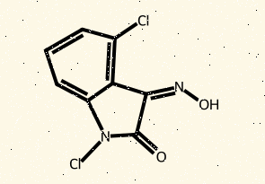 O=C1C(=NO)c2c(Cl)cccc2N1Cl